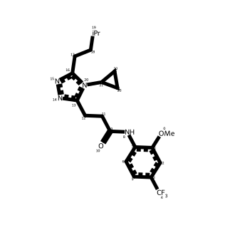 COc1cc(C(F)(F)F)ccc1NC(=O)CCc1nnc(CCC(C)C)n1C1CC1